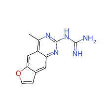 Cc1nc(NC(=N)N)nc2cc3ccoc3cc12